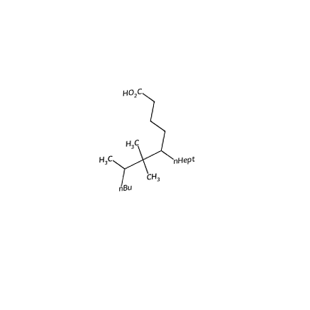 CCCCCCCC(CCCC(=O)O)C(C)(C)C(C)CCCC